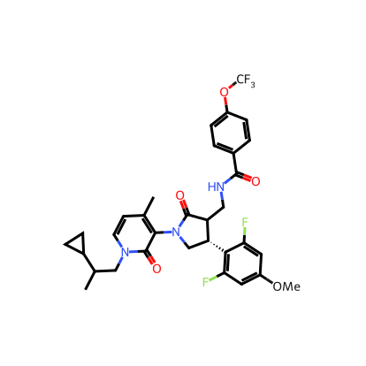 COc1cc(F)c([C@@H]2CN(c3c(C)ccn(CC(C)C4CC4)c3=O)C(=O)C2CNC(=O)c2ccc(OC(F)(F)F)cc2)c(F)c1